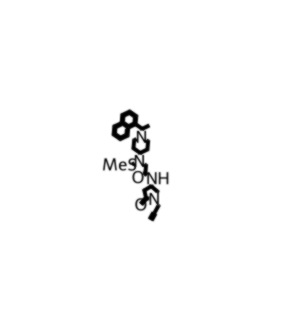 C#CCN1CC(NC(=O)CN(SC)C2CCN(C(C)c3cccc4ccccc34)CC2)CC1=O